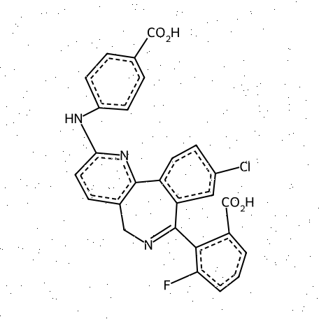 O=C(O)c1ccc(Nc2ccc3c(n2)-c2ccc(Cl)cc2C(c2c(F)cccc2C(=O)O)=NC3)cc1